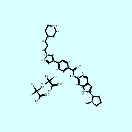 CN1CCC[C@@H]1c1cc2cnc(NC(=O)c3ccc(-c4cnn(CCCC5CCNCC5)c4)cc3)cc2[nH]1.O=C(O)C(F)(F)F.O=C(O)C(F)(F)F